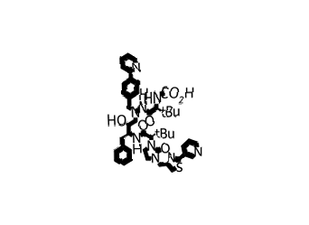 CC(C)(C)[C@H](NC(=O)O)C(=O)NN(Cc1ccc(-c2ccccn2)cc1)C[C@H](O)[C@H](Cc1ccccc1)NC(=O)[C@@H](N1CCN(Cc2csc(-c3cccnc3)n2)C1=O)C(C)(C)C